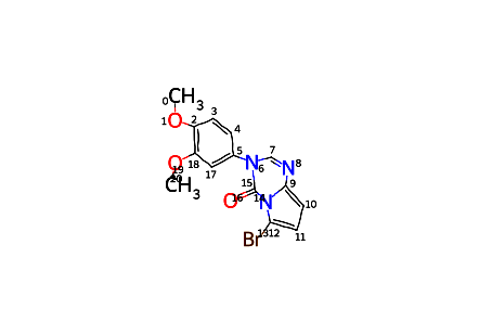 COc1ccc(-n2cnc3ccc(Br)n3c2=O)cc1OC